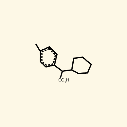 Cc1ccc(C(C(=O)O)C2CCCCC2)cc1